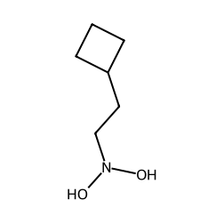 ON(O)CCC1CCC1